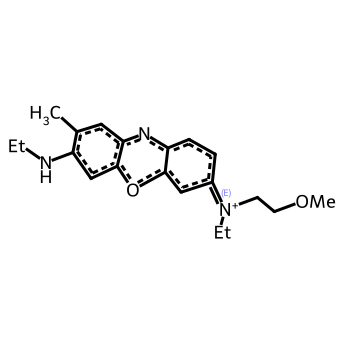 CCNc1cc2oc3c/c(=[N+](\CC)CCOC)ccc-3nc2cc1C